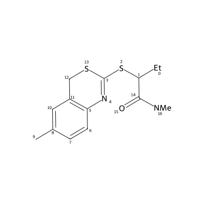 CCC(SC1=Nc2ccc(C)cc2CS1)C(=O)NC